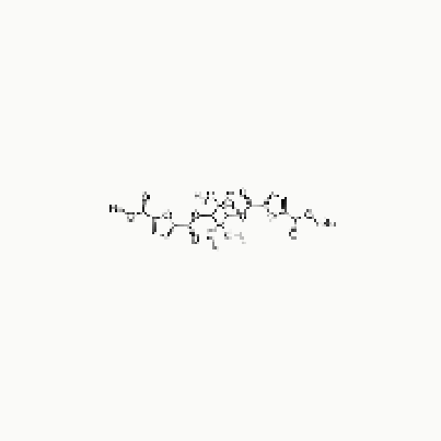 CCCCOC(=O)c1ccc(C(=O)OC2C(C)(C)C(OC(=O)c3ccc(C(=O)OC(C)(C)C)o3)C2(C)C)o1